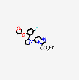 CCOC(=O)c1cnc2ccc(N3CCCC3c3cc(F)ccc3O[C@@H]3CCOC3)cn12